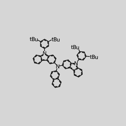 CC(C)(C)c1cc(-n2c3ccccc3c3cc(N(c4ccc5ccccc5c4)c4ccc5c(c4)c4ccccc4n5-c4cc(C(C)(C)C)cc(C(C)(C)C)c4)ccc32)cc(C(C)(C)C)c1